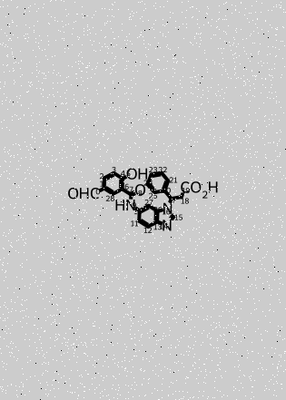 O=Cc1ccc(O)c(C(=O)Nc2ccc3ncn(C(CC(=O)O)c4ccccc4)c3c2)c1